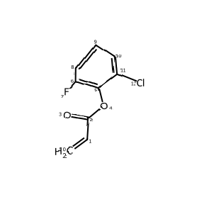 C=CC(=O)Oc1c(F)cccc1Cl